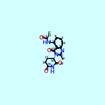 Cc1nc2cccc(NC(=O)F)c2c(=O)n1[C@H]1CCC(=O)NC1=O